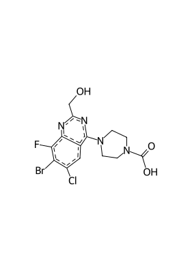 O=C(O)N1CCN(c2nc(CO)nc3c(F)c(Br)c(Cl)cc23)CC1